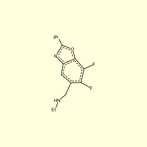 CCNCc1cc2nc(C(C)C)oc2c(F)c1F